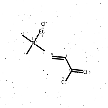 C=CC(=O)Cl.CC[N+](C)(C)C.[Cl-]